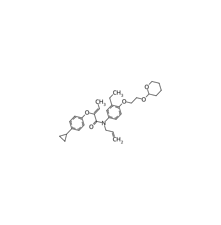 C=CCN(C(=O)/C(=C/C)Oc1ccc(C2CC2)cc1)c1ccc(OCCOC2CCCCO2)c(CC)c1